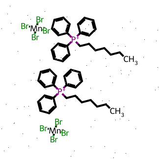 CCCCCCC[P+](c1ccccc1)(c1ccccc1)c1ccccc1.CCCCCCC[P+](c1ccccc1)(c1ccccc1)c1ccccc1.[Br][Mn-]([Br])([Br])[Br].[Br][Mn-]([Br])([Br])[Br]